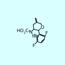 C=C1COC(c2cc(F)ccc2F)C(N(C(=O)O)C(C)(C)C)C1